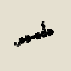 Cn1cc(-c2ncc(C#Cc3cnc(N4CCN(c5ncccn5)[C@@H](COCCF)C4)nc3)cn2)cn1